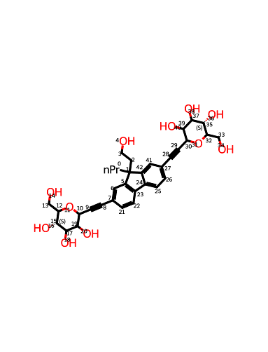 CCCC1(CCO)c2cc(C#CC3OC(CO)[C@@H](O)C(O)C3O)ccc2-c2ccc(C#CC3OC(CO)[C@@H](O)C(O)C3O)cc21